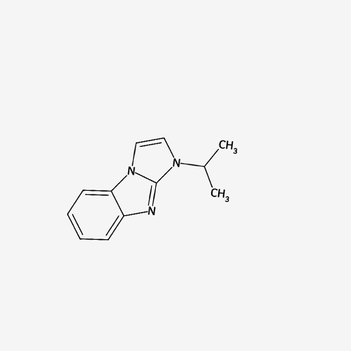 CC(C)n1ccn2c3ccccc3nc12